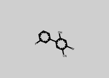 N#Cc1cc(-c2cccc(F)c2)c(O)cc1Br